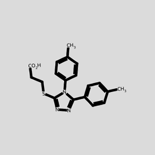 Cc1ccc(-c2nnc(SCCC(=O)O)n2-c2ccc(C)cc2)cc1